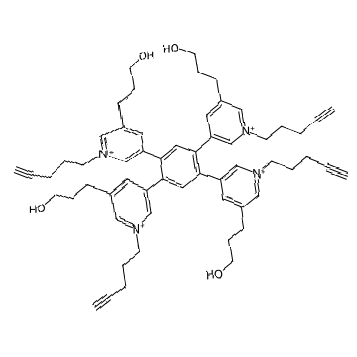 C#CCCC[n+]1cc(CCCO)cc(-c2cc(-c3cc(CCCO)c[n+](CCCC#C)c3)c(-c3cc(CCCO)c[n+](CCCC#C)c3)cc2-c2cc(CCCO)c[n+](CCCC#C)c2)c1